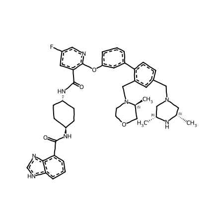 C[C@@H]1CN(Cc2ccc(-c3cccc(Oc4ncc(F)cc4C(=O)N[C@H]4CC[C@H](NC(=O)c5cccc6[nH]cnc56)CC4)c3)c(CN3CCOC[C@@H]3C)c2)C[C@H](C)N1